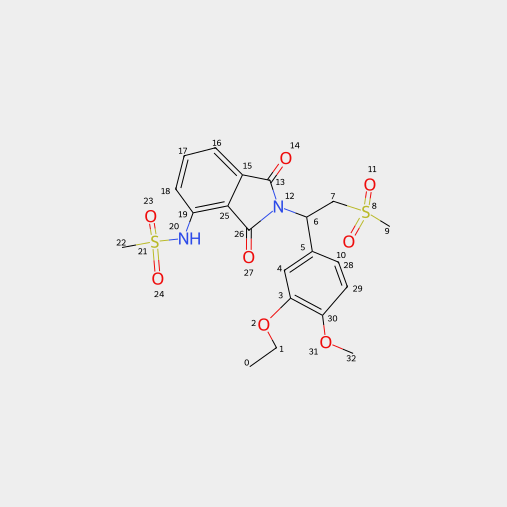 CCOc1cc(C(CS(C)(=O)=O)N2C(=O)c3cccc(NS(C)(=O)=O)c3C2=O)ccc1OC